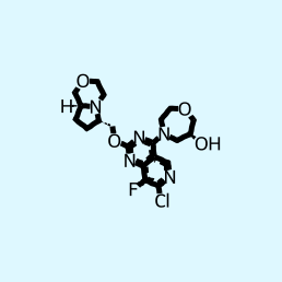 O[C@@H]1COCCN(c2nc(OC[C@@H]3CC[C@H]4COCCN43)nc3c(F)c(Cl)ncc23)C1